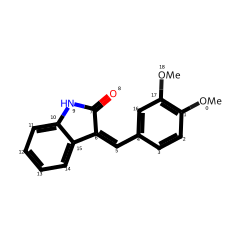 COc1ccc(C=C2C(=O)Nc3ccccc32)cc1OC